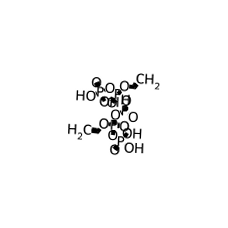 C=COP(=O)(O[PH](=O)OP(=O)(OC=C)OP(=O)(O)O)OP(=O)(O)O